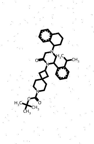 CC(C)c1ccccc1C1CN(C2CCCc3ccccc32)CC(=O)N1C1CC2(CCN(C(=O)OC(C)(C)C)CC2)C1